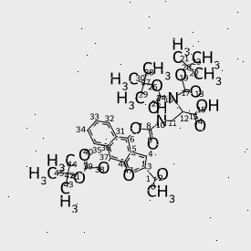 CC(=O)c1cc2c(OC(=O)NCC(C(=O)O)N(C(=O)OC(C)(C)C)C(=O)OC(C)(C)C)c3ccccc3c(OC(=O)OC(C)(C)C)c2o1